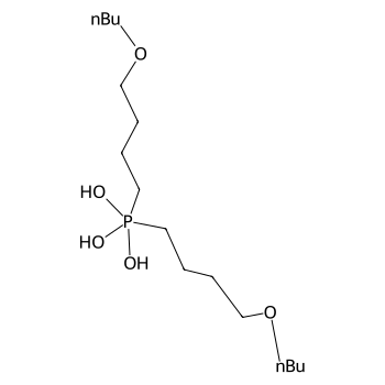 CCCCOCCCCP(O)(O)(O)CCCCOCCCC